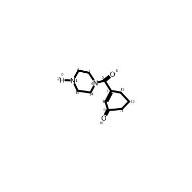 [2H]N1CCN(C(=O)C2=CC(=O)CCC2)CC1